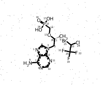 C[C@H](Cn1cnc2c(N)ncnc21)OCP(=O)(O)O.FC(F)(F)C(Cl)Br